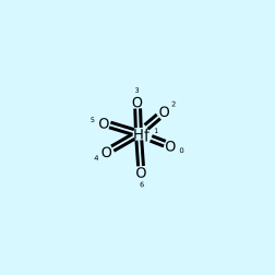 [O]=[Hf](=[O])(=[O])(=[O])(=[O])=[O]